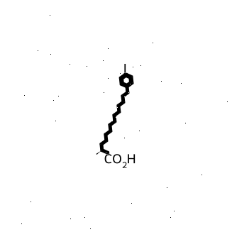 C[C@H](CCCCCCCCCCCCc1ccc(I)cc1)CC(=O)O